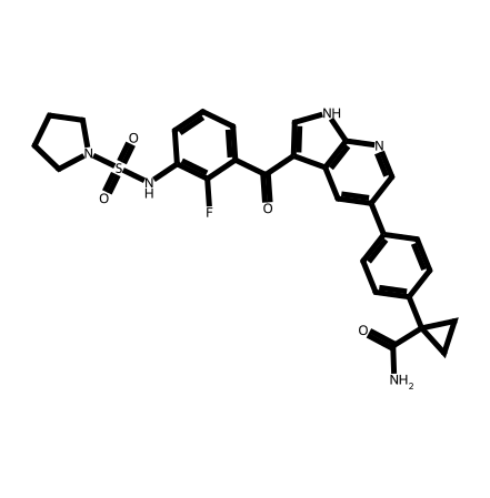 NC(=O)C1(c2ccc(-c3cnc4[nH]cc(C(=O)c5cccc(NS(=O)(=O)N6CCCC6)c5F)c4c3)cc2)CC1